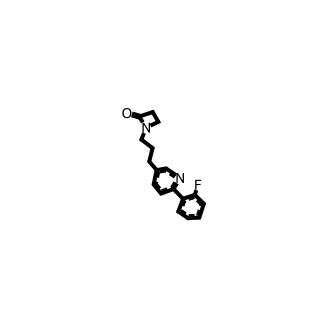 O=C1CCN1CCCc1ccc(-c2ccccc2F)nc1